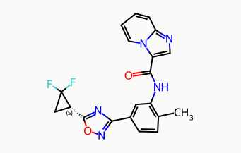 Cc1ccc(-c2noc([C@@H]3CC3(F)F)n2)cc1NC(=O)c1cnc2ccccn12